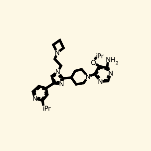 CC(C)Oc1c(N)ncnc1N1CCC(c2nc(-c3ccnc(C(C)C)c3)cn2CCN2CCC2)CC1